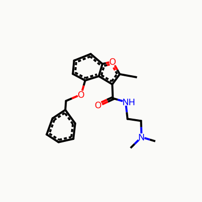 Cc1oc2cccc(OCc3ccccc3)c2c1C(=O)NCCN(C)C